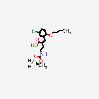 CCCCOc1ccc(Cl)cc1/C=C(/CCNC(=O)OC(C)(C)C)C(=O)O